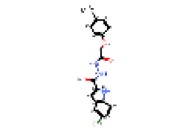 COc1ccc(OCC(=O)NNC(=O)c2cc3cc(Cl)ccc3[nH]2)cc1